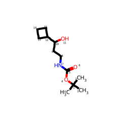 CC(C)(C)OC(=O)NCCC(O)C1CCC1